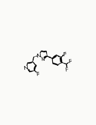 Fc1cncc(Cn2ccc(-c3ccc(C(F)F)c(F)c3)n2)c1